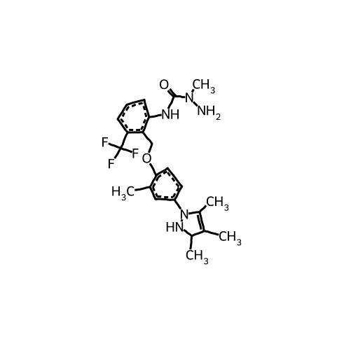 CC1=C(C)N(c2ccc(OCc3c(NC(=O)N(C)N)cccc3C(F)(F)F)c(C)c2)NC1C